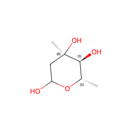 C[C@@H]1OC(O)C[C@@](C)(O)[C@H]1O